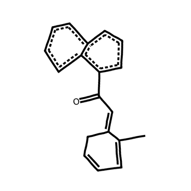 CC1=CC=CCC1=CC(=O)c1cccc2ccccc12